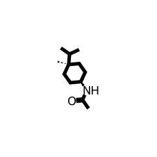 CC(=O)N[C@H]1CC[C@@](C)(C(C)C)CC1